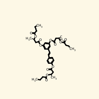 CCCC(=O)O[C@H](C)CC(=O)Oc1ccc(/C=C/c2cc(OC(=O)C[C@@H](C)OC(=O)CCC)cc(OC(=O)C[C@@H](C)OC(=O)CCC)c2)cc1